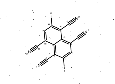 N#Cc1cc(I)c(C#N)c2c(C#N)cc(I)c(C#N)c12